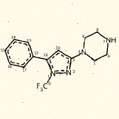 FC(F)(F)n1nc(N2CCNCC2)cc1-c1ccccc1